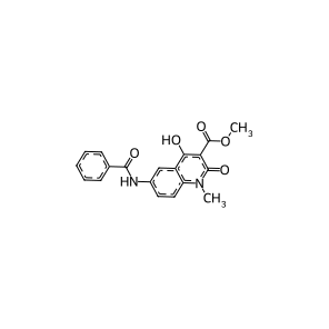 COC(=O)c1c(O)c2cc(NC(=O)c3ccccc3)ccc2n(C)c1=O